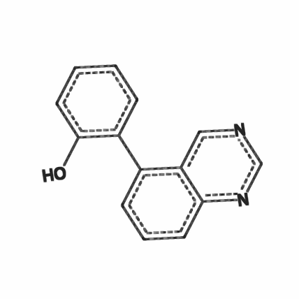 Oc1ccccc1-c1cccc2ncncc12